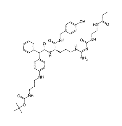 CCC(=O)NCCNC(=O)/N=C(/N)NCCC[C@@H](NC(=O)C(c1ccccc1)c1ccc(NCCCNC(=O)OC(C)(C)C)cc1)C(=O)NCc1ccc(O)cc1